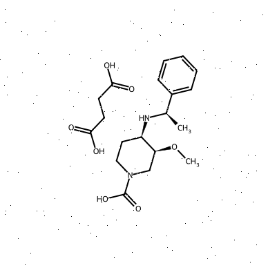 CO[C@H]1CN(C(=O)O)CC[C@H]1N[C@H](C)c1ccccc1.O=C(O)CCC(=O)O